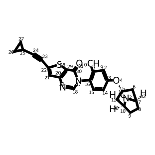 Cc1cc(O[C@@H]2C[C@H]3CC[C@@H](C2)N3C)ccc1-n1cnc2cc(C#CC3CC3)sc2c1=O